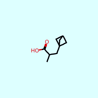 CC(CC12CC(C1)C2)C(=O)O